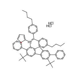 CCCCc1ccc([C](c2ccc(CCCC)cc2)=[Hf]([C]2=CC=CC2)[c]2c3c(cc(C(C)(C)C)c2-c2ccccc2)-c2cc(C(C)(C)C)c(-c4ccccc4)cc2C3)cc1.Cl.Cl